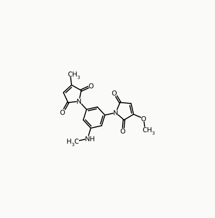 CNc1cc(N2C(=O)C=C(C)C2=O)cc(N2C(=O)C=C(OC)C2=O)c1